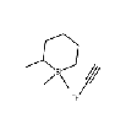 C#CCC.CC1CCCC[Si]1(C)C